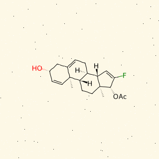 CC(=O)O[C@H]1C(F)=C[C@H]2[C@@H]3CC=C4C[C@@H](O)C=C[C@]4(C)[C@H]3CC[C@]12C